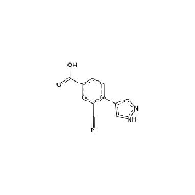 N#Cc1cc(C(=O)O)ccc1-c1cn[nH]c1